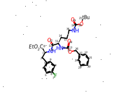 CCOC(=O)[C@H](Cc1ccc(F)cc1)NC(=O)[C@@H](CCCNC(=O)OC(C)(C)C)NC(=O)OCc1ccccc1